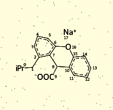 CC(C)Cc1cccc2c1C(C(=O)[O-])c1ccccc1O2.[Na+]